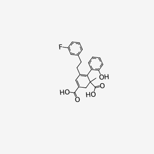 CC1(C(=O)O)CC(C(=O)O)=CC(CCc2cccc(F)c2)=C1c1ccccc1O